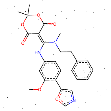 COc1cc(NC(=C2C(=O)OC(C)(C)OC2=O)N(C)CCc2ccccc2)ccc1-c1cnco1